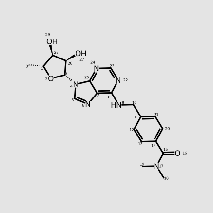 C[C@H]1O[C@@H](n2cnc3c(NCc4ccc(C(=O)N(C)C)cc4)ncnc32)[C@H](O)[C@@H]1O